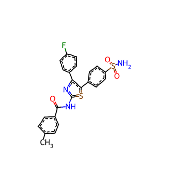 Cc1ccc(C(=O)Nc2nc(-c3ccc(F)cc3)c(-c3ccc(S(N)(=O)=O)cc3)s2)cc1